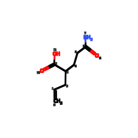 C=CCC(CCC(N)=O)C(=O)O